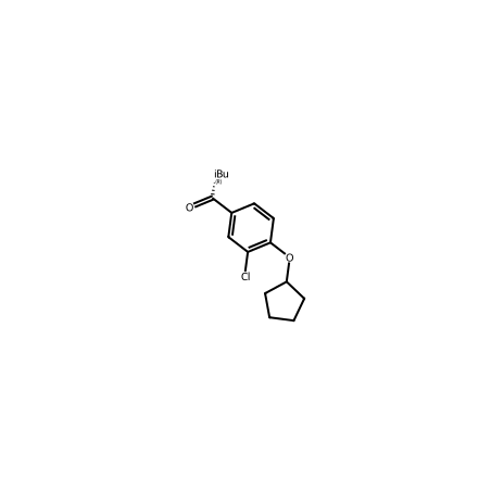 CC[C@@H](C)C(=O)c1ccc(OC2CCCC2)c(Cl)c1